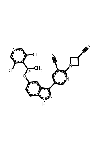 C[C@@H](Oc1ccc2[nH]nc(-c3cnc(N4CC(C#N)C4)c(C#N)c3)c2c1)c1c(Cl)cncc1Cl